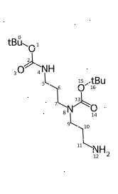 CC(C)(C)OC(=O)NCCCN(CCCN)C(=O)OC(C)(C)C